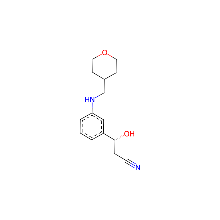 N#CC[C@@H](O)c1cccc(NCC2CCOCC2)c1